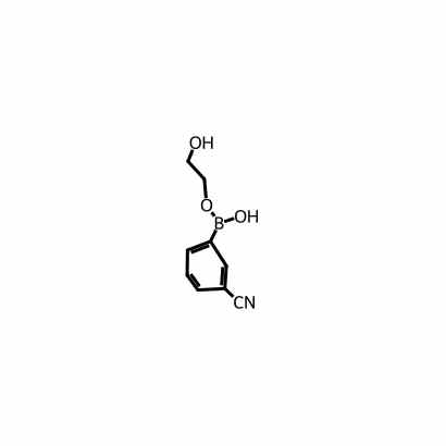 N#Cc1cccc(B(O)OCCO)c1